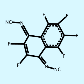 [C-]#[N+]/N=C1C(F)=C(F)/C(=N\C#N)c2c(F)c(F)c(F)c(F)c2/1